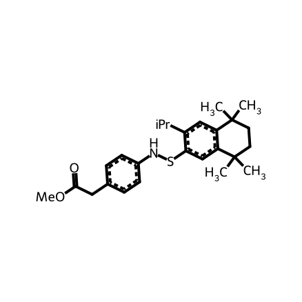 COC(=O)Cc1ccc(NSc2cc3c(cc2C(C)C)C(C)(C)CCC3(C)C)cc1